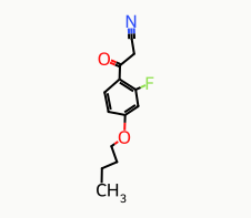 CCCCOc1ccc(C(=O)CC#N)c(F)c1